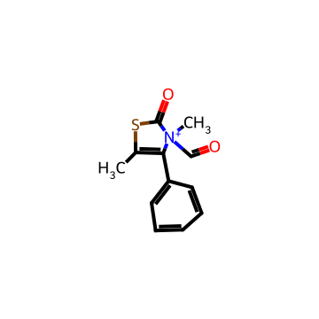 CC1=C(c2ccccc2)[N+](C)(C=O)C(=O)S1